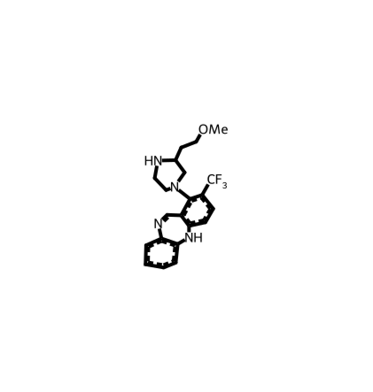 COCCC1CN(c2c(C(F)(F)F)ccc3c2C=Nc2ccccc2N3)CCN1